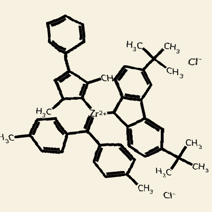 CC1=[C]([Zr+2](=[C](c2ccc(C)cc2)c2ccc(C)cc2)[CH]2c3ccc(C(C)(C)C)cc3-c3cc(C(C)(C)C)ccc32)C(C)C=C1c1ccccc1.[Cl-].[Cl-]